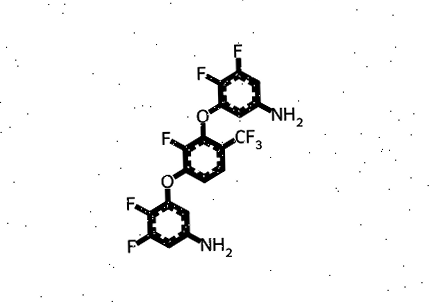 Nc1cc(F)c(F)c(Oc2ccc(C(F)(F)F)c(Oc3cc(N)cc(F)c3F)c2F)c1